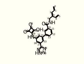 C=C/C=C(\C=C)CNC(=O)c1cccc(-c2cc(Nc3c(O)c(=O)c3=O)cc(-c3nn[nH]n3)c2)c1